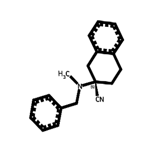 CN(Cc1ccccc1)[C@@]1(C#N)CCc2ccccc2C1